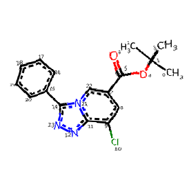 CC(C)(C)OC(=O)c1cc(Cl)c2nnc(-c3ccccc3)n2c1